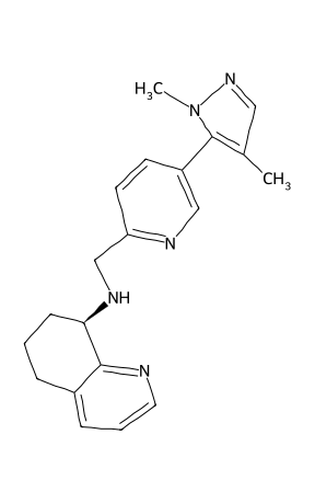 Cc1cnn(C)c1-c1ccc(CN[C@@H]2CCCc3cccnc32)nc1